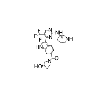 O=C(c1ccc2c(-c3nc(N[C@H]4CCCNC4)ncc3C(F)(F)F)c[nH]c2c1)N1CC[C@@H](O)C1